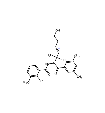 CCc1c(OC)cccc1C(=O)NN(C(=O)c1cc(C)cc(C)c1)C(C)(C)/C=N/CCO